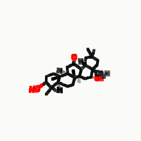 CC1(C)CC[C@]2(C(=O)O)[C@H](O)C[C@]3(C)C(C(=O)C[C@@H]4[C@@]5(C)CC[C@H](O)C(C)(C)[C@@H]5CC[C@]43C)[C@@H]2C1